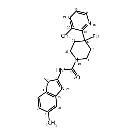 Cc1ccc2sc(NC(=O)N3CCC(F)(c4nccnc4Cl)CC3)nc2c1